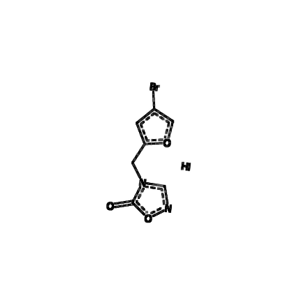 I.O=c1oncn1Cc1cc(Br)co1